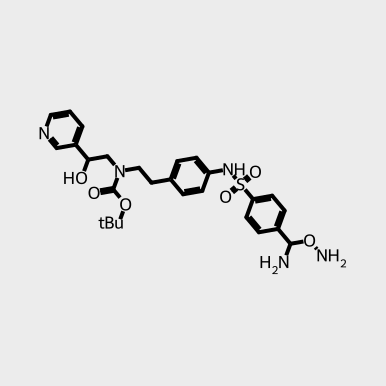 CC(C)(C)OC(=O)N(CCc1ccc(NS(=O)(=O)c2ccc(C(N)ON)cc2)cc1)CC(O)c1cccnc1